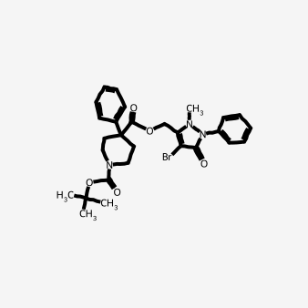 Cn1c(COC(=O)C2(c3ccccc3)CCN(C(=O)OC(C)(C)C)CC2)c(Br)c(=O)n1-c1ccccc1